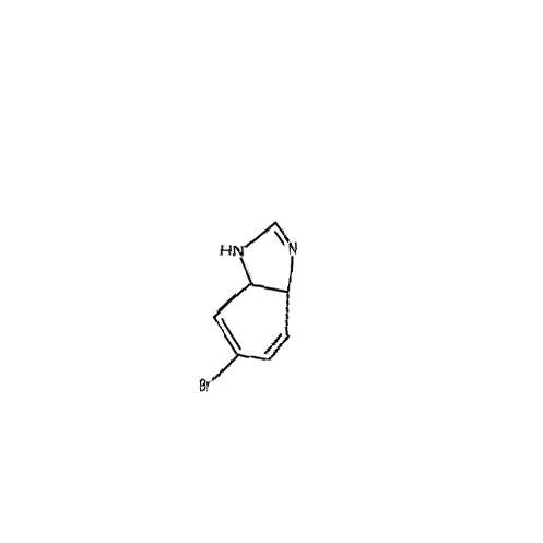 BrC1=CC2NC=NC2C=C1